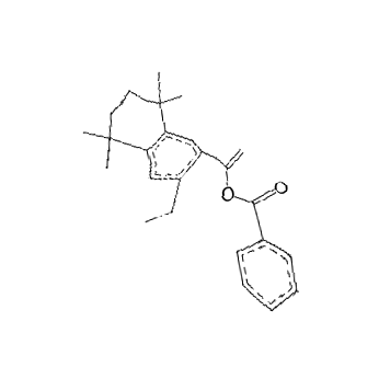 C=C(OC(=O)c1ccccc1)c1cc2c(cc1CC)C(C)(C)CCC2(C)C